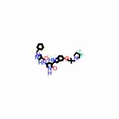 CC(C)(COc1ccc2[nH]c(-c3cc(NC(=O)c4cnn(Cc5ccccc5)c4)c[nH]c3=O)cc2c1)CN1CCC(F)(F)C1